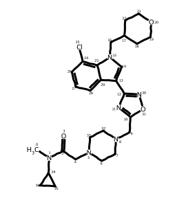 CN(C(=O)CN1CCN(Cc2nc(-c3cn(CC4CCOCC4)c4c(Cl)cccc34)no2)CC1)C1CC1